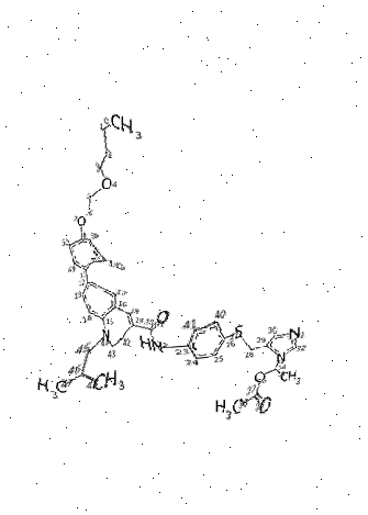 CCCCOCCOc1ccc(-c2ccc3c(c2)C=C(C(=O)Nc2ccc(SCc4cncn4C(C)OC(C)=O)cc2)CCN3CC(C)C)cc1